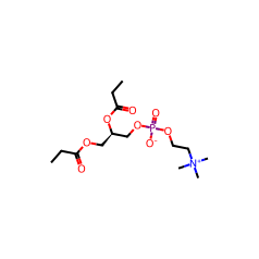 CCC(=O)OC[C@H](COP(=O)([O-])OCC[N+](C)(C)C)OC(=O)CC